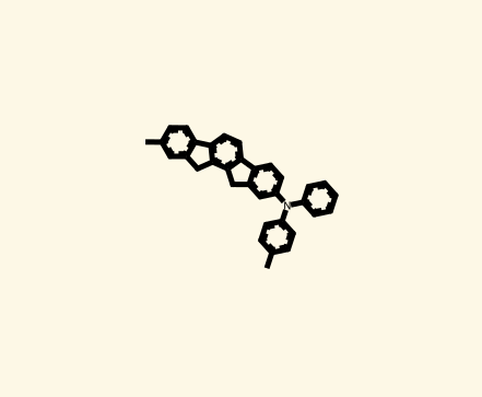 Cc1ccc(N(c2ccccc2)c2ccc3c(c2)Cc2c-3ccc3c2Cc2cc(C)ccc2-3)cc1